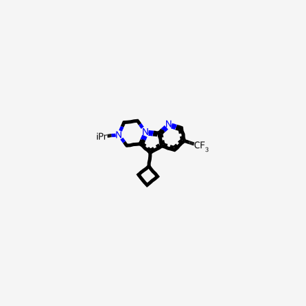 CC(C)N1CCn2c(c(C3CCC3)c3cc(C(F)(F)F)cnc32)C1